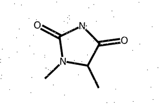 CC1C(=O)[N]C(=O)N1C